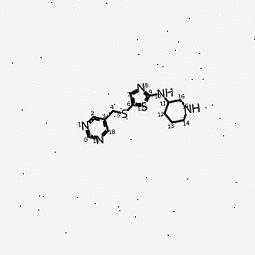 c1ncc(CSc2cnc(NC3CCCNC3)s2)cn1